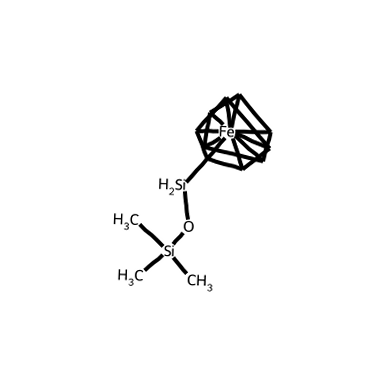 C[Si](C)(C)O[SiH2][C]12[CH]3[CH]4[CH]5[CH]1[Fe]45321678[CH]2[CH]1[CH]6[CH]7[CH]28